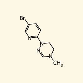 CN1C=NN(c2ccc(Br)cn2)CC1